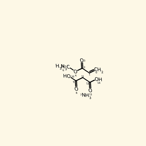 C=CC(=O)OC.N.N.O=C(O)CC(=O)O